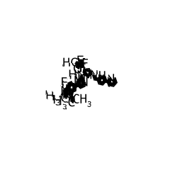 CC(C)c1c2cc(-c3ccnc(N[C@H]4CC[C@H](NCc5ccc(-c6ccccn6)cc5)C4)n3)cc(F)c2nn1C.O=C(O)C(F)(F)F